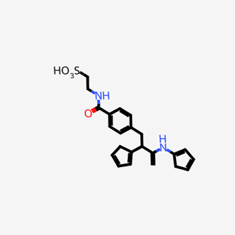 C=C(NC1=CC=CC1)C(Cc1ccc(C(=O)NCCS(=O)(=O)O)cc1)C1=CC=CC1